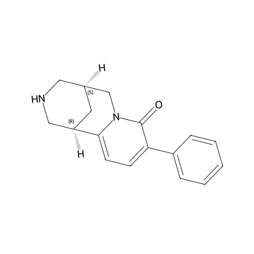 O=c1c(-c2ccccc2)ccc2n1C[C@@H]1CNC[C@H]2C1